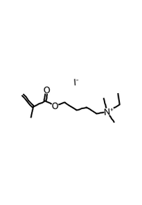 C=C(C)C(=O)OCCCC[N+](C)(C)CC.[I-]